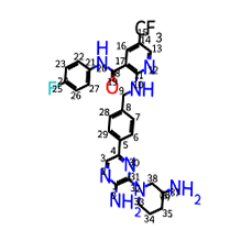 Nc1ncc(-c2ccc(CNc3ncc(C(F)(F)F)cc3C(=O)Nc3ccc(F)cc3)cc2)nc1N1CCC[C@H](N)C1